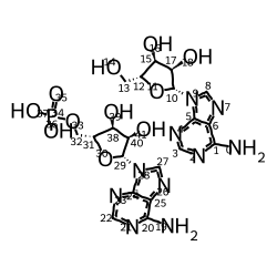 Nc1ncnc2c1ncn2[C@@H]1O[C@H](CO)[C@@H](O)[C@H]1O.Nc1ncnc2c1ncn2[C@@H]1O[C@H](COP(=O)(O)O)[C@@H](O)[C@H]1O